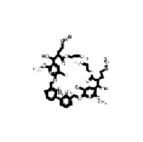 C=CCOC(=O)C(CCN=[N+]=[N-])C(O)c1cc(Cl)c(OCc2cccc(-c3cccc(COc4nc(OC)c(C(O)C(CCN=[N+]=[N-])C(=O)OCC=C)cc4Cl)c3C)c2C)nc1OC